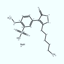 CCCCCCc1ssc(=S)c1-c1ccc(OC)c(S(=O)(=O)O)c1.[NaH]